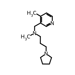 Cc1ccncc1CN(C)CCCN1CCCC1